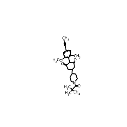 CC#Cc1cc(C)c(C2C(=O)CC(C3CCN(C(=O)C(C)(C)C)CC3)CC2=O)c(OC)c1